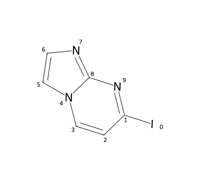 Ic1ccn2ccnc2n1